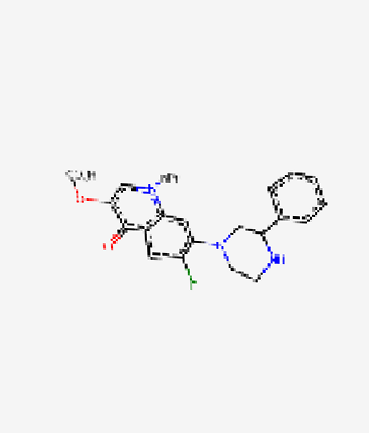 CCCn1cc(OC(=O)O)c(=O)c2cc(F)c(N3CCNC(c4ccccc4)C3)cc21